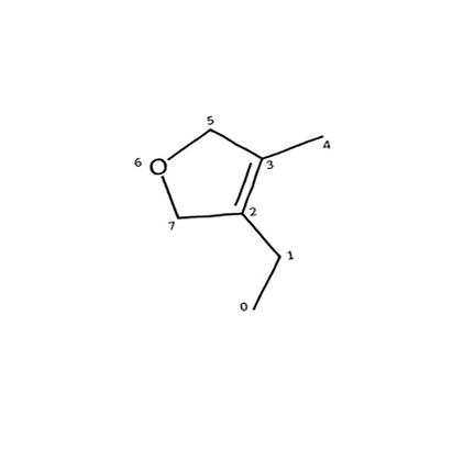 CCC1=C(C)COC1